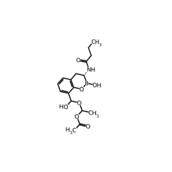 CCCC(=O)N[C@H]1Cc2cccc(C(O)OC(C)OC(C)=O)c2OB1O